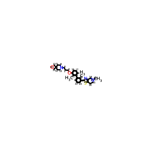 Cc1c(OCCCN2CCC3(CC2)COC3)cccc1-c1cccc(-c2nc3c(s2)CCN(C)C3)c1C